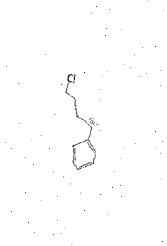 C[C@@H](CCCCl)c1ccccc1